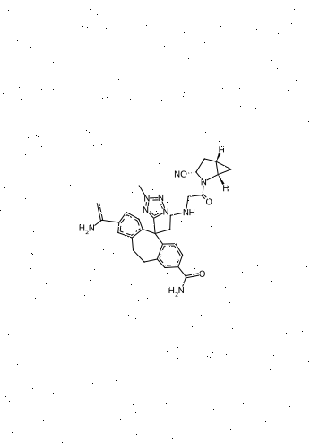 C=C(N)c1ccc2c(c1)CCc1cc(C(N)=O)ccc1C2(CCNCC(=O)N1[C@H](C#N)C[C@@H]2C[C@@H]21)c1nnn(C)n1